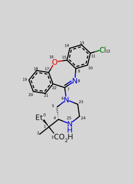 CC[C@](C)(C(=O)O)[C@@H]1CN(C2=Nc3cc(Cl)ccc3Oc3ccccc32)CCN1